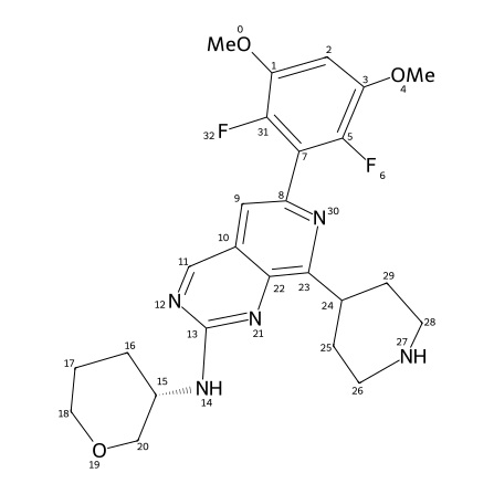 COc1cc(OC)c(F)c(-c2cc3cnc(N[C@H]4CCCOC4)nc3c(C3CCNCC3)n2)c1F